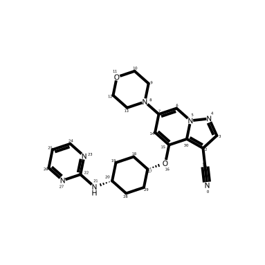 N#Cc1cnn2cc(N3CCOCC3)cc(O[C@H]3CC[C@@H](Nc4ncccn4)CC3)c12